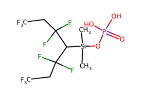 C[Si](C)(OP(=O)(O)O)C(C(F)(F)CC(F)(F)F)C(F)(F)CC(F)(F)F